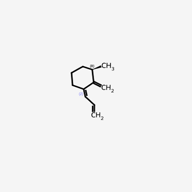 C=C/C=C1/CCC[C@@H](C)C1=C